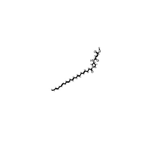 CCC=CCC=CCC=CCC=CCC=CCC=CCCC(=O)N1CCC(NC(=O)C=CC(=O)OC)C1